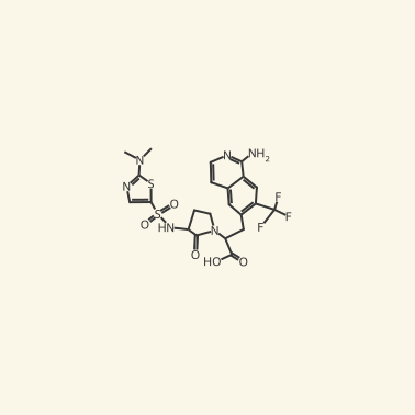 CN(C)c1ncc(S(=O)(=O)NC2CCN(C(Cc3cc4ccnc(N)c4cc3C(F)(F)F)C(=O)O)C2=O)s1